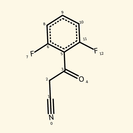 N#CCC(=O)c1c(F)cccc1F